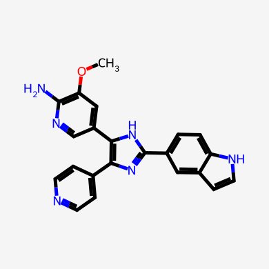 COc1cc(-c2[nH]c(-c3ccc4[nH]ccc4c3)nc2-c2ccncc2)cnc1N